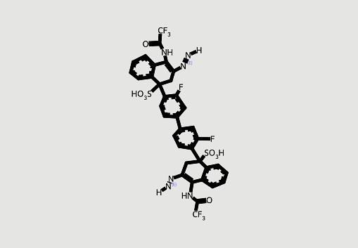 [H]/N=N/C1=C(NC(=O)C(F)(F)F)c2ccccc2C(c2ccc(-c3ccc(C4(S(=O)(=O)O)CC(/N=N/[H])=C(NC(=O)C(F)(F)F)c5ccccc54)c(F)c3)cc2F)(S(=O)(=O)O)C1